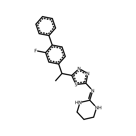 CC(c1ccc(-c2ccccc2)c(F)c1)c1nnc(N=C2NCCCN2)s1